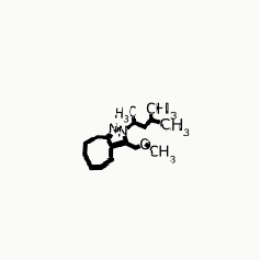 COCc1c2c(nn1C(C)CC(C)C)CCCCCC2